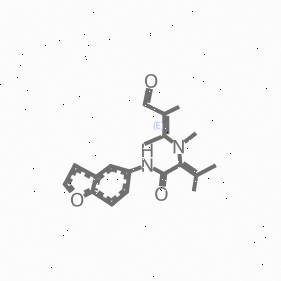 CC(C)=C(C(=O)Nc1ccc2occc2c1)N(C)/C(C)=C(\C)C=O